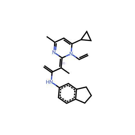 C=CN1C(C2CC2)=CC(C)=N/C1=C(/C)C(=C)Nc1ccc2c(c1)CCC2